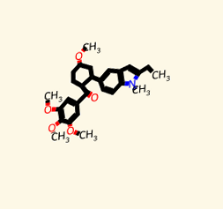 CCc1cc2cc(C3CC(OC)CCC3C(=O)c3cc(OC)c(OC)c(OC)c3)ccc2n1C